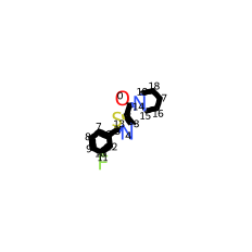 O=C(c1cnc(-c2cccc(F)c2)s1)N1CCCCC1